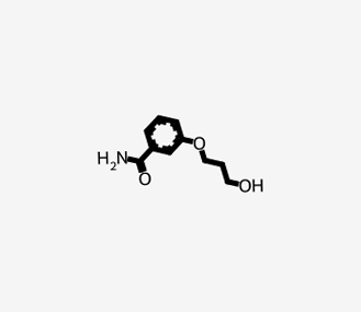 NC(=O)c1cccc(OCCCO)c1